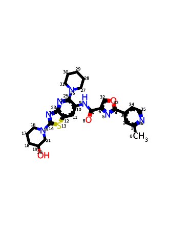 Cc1cc(-c2nc(C(=O)Nc3cc4sc(N5CCCC(O)C5)nc4nc3N3CCCCC3)co2)ccn1